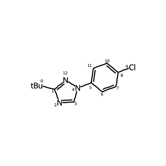 CC(C)(C)c1ncn(-c2ccc(Cl)cc2)n1